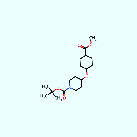 COC(=O)C1CCC(OC2CCN(C(=O)OC(C)(C)C)CC2)CC1